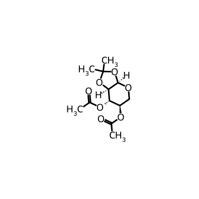 CC(=O)O[C@@H]1[C@H]2OC(C)(C)O[C@H]2OC[C@H]1OC(C)=O